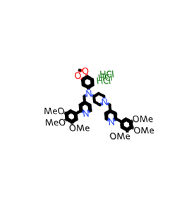 COc1cc(-c2cc(CN3CCC(N(Cc4ccnc(-c5cc(OC)c(OC)c(OC)c5)c4)c4ccc5c(c4)OCO5)CC3)ccn2)cc(OC)c1OC.Cl.Cl.Cl